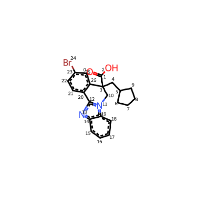 O=C(O)C1(CC2CCCC2)Cn2c(nc3ccccc32)-c2ccc(Br)cc21